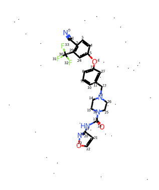 N#Cc1ccc(Oc2cccc(CN3CCN(C(=O)Nc4ccon4)CC3)c2)cc1C(F)(F)F